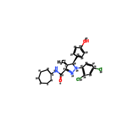 C[C@@H]1C(C(=O)NC2CCCCCC2)=NN(c2ccc(Cl)cc2Cl)[C@@H]1c1ccc(O)cc1